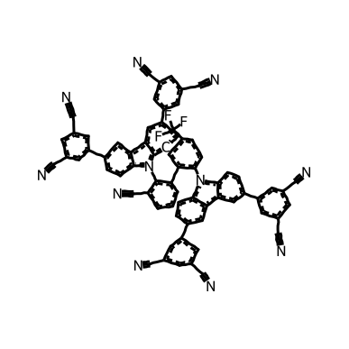 N#Cc1cc(C#N)cc(-c2ccc3c(c2)c2cc(-c4cc(C#N)cc(C#N)c4)ccc2n3-c2ccc(C(F)(F)F)cc2-c2cccc(C#N)c2-n2c3ccc(-c4cc(C#N)cc(C#N)c4)cc3c3cc(-c4cc(C#N)cc(C#N)c4)ccc32)c1